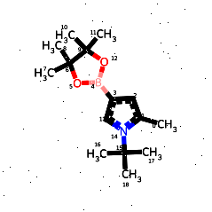 Cc1cc(B2OC(C)(C)C(C)(C)O2)cn1C(C)(C)C